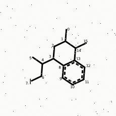 CC1CC(C(C)CI)c2ccccc2C1C